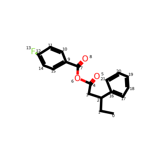 CCC(CC(=O)OC(=O)c1ccc(F)cc1)c1ccccc1